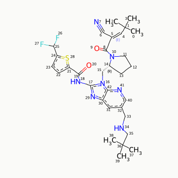 CC(C)(C)/C=C(\C#N)C(=O)N1CCC[C@@H]1Cn1c(NC(=O)c2ccc(C(F)F)s2)nc2cc(CNCC(C)(C)C)cnc21